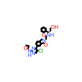 O=C(CN1Cc2ccc(-c3nc(NC4CCO4)ncc3Cl)cc2C1=O)N[C@H](CCO)c1ccccc1